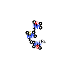 CC(Cc1ccc2c(c1)c1ccccc1n2-c1nc(C(C)(C)Cc2ccc3c(ccc4c3c3ccccc3n4-c3nc(C(C)(C)C)nc4c3oc3ccccc34)c2)nc2c1sc1ccccc12)c1nc(-n2c3ccccc3c3ccccc32)c2oc3ccccc3c2n1